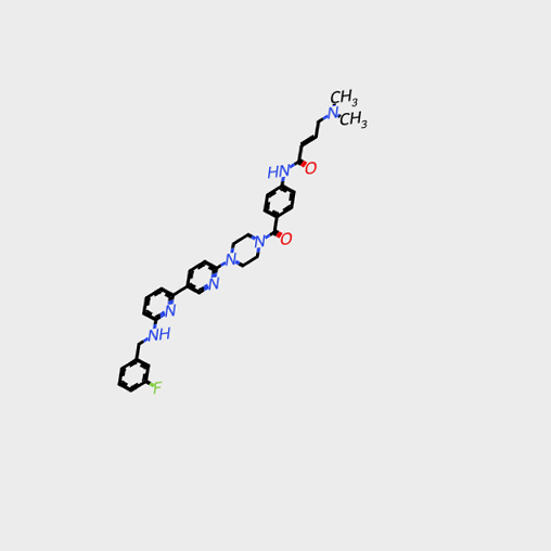 CN(C)C/C=C/C(=O)Nc1ccc(C(=O)N2CCN(c3ccc(-c4cccc(NCc5cccc(F)c5)n4)cn3)CC2)cc1